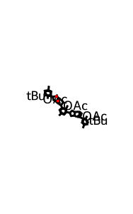 CC(=O)Oc1c(C2CC3C4CC(c5cc(C)cc(C(C)(C)C)c5OC(C)=O)C(C4)C3C2)cc(C)cc1C1CC2CC1C1CC(c3cc(C)cc(C(C)(C)C)c3OC(C)=O)CC21